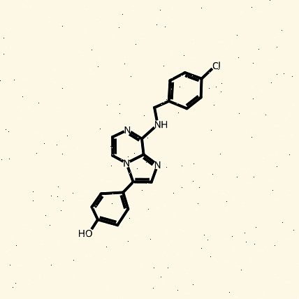 Oc1ccc(-c2cnc3c(NCc4ccc(Cl)cc4)nccn23)cc1